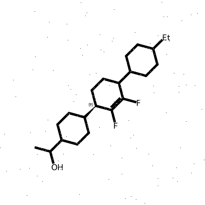 CCC1CCC(C2CC[C@H](C3CCC(C(C)O)CC3)C(F)=C2F)CC1